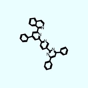 c1ccc(-c2cc(-c3ccc(-c4nc(-c5ccccc5)cc(-c5ccccc5)n4)cn3)nc(-c3nccc4ccccc34)c2)cc1